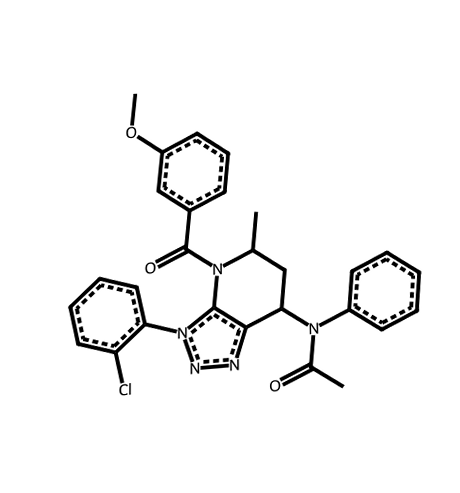 COc1cccc(C(=O)N2c3c(nnn3-c3ccccc3Cl)C(N(C(C)=O)c3ccccc3)CC2C)c1